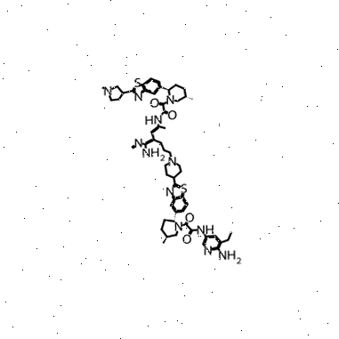 C=N/C(N)=C(\C=C(/C)NC(=O)C(=O)N1C[C@@H](C)CC[C@@H]1c1ccc2sc(C3CCN(C)C3)nc2c1)CCCN1CCC(c2nc3cc([C@H]4CC[C@H](C)CN4C(=O)C(=O)Nc4cnc(N)c(CC)c4)ccc3s2)CC1